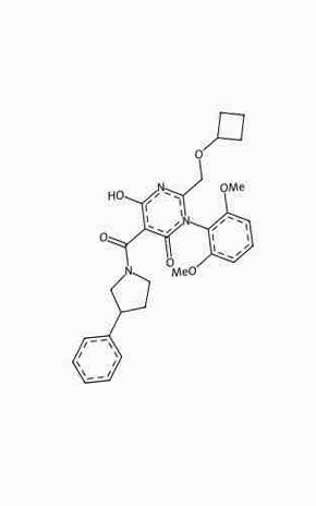 COc1cccc(OC)c1-n1c(COC2CCC2)nc(O)c(C(=O)N2CCC(c3ccccc3)C2)c1=O